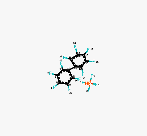 F[PH](F)(F)F.Fc1c(F)c(F)c(-c2c(F)c(F)c(F)c(F)c2F)c(F)c1F